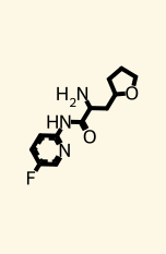 NC(CC1CCCO1)C(=O)Nc1ccc(F)cn1